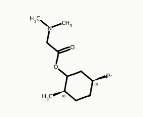 CC(C)[C@H]1CC[C@@H](C)C(OC(=O)CN(C)C)C1